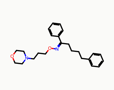 c1ccc(CCCCC(=NOCCCN2CCOCC2)c2ccccc2)cc1